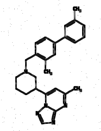 Cc1cccc(-c2ccc(CN3CCCC(c4cc(C)nc5ncnn45)C3)c(C)c2)c1